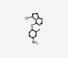 Nc1ccc(Oc2ncnc3ccc(Cl)n23)c(F)c1